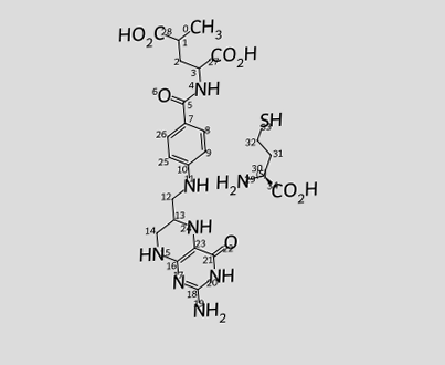 CC(CC(NC(=O)c1ccc(NCC2CNc3nc(N)[nH]c(=O)c3N2)cc1)C(=O)O)C(=O)O.N[C@@H](CCS)C(=O)O